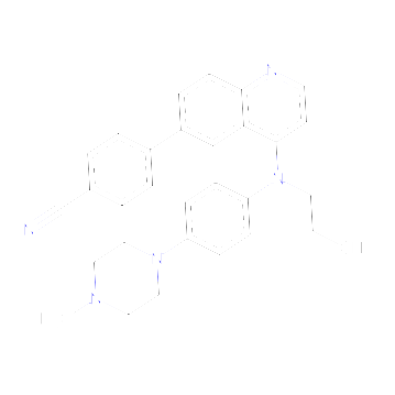 CCCN(c1ccc(N2CCN(C)CC2)cc1)c1ccnc2ccc(-c3ccc(C#N)cc3)cc12